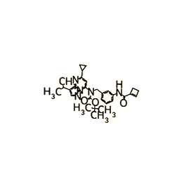 CC(C)c1cnn2c(N(Cc3cccc(NC(=O)C4=CCC4)c3)C(=O)OC(C)(C)C)cc(C3CC3)nc12